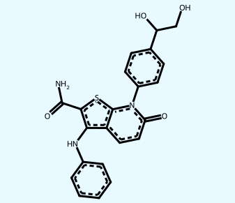 NC(=O)c1sc2c(ccc(=O)n2-c2ccc(C(O)CO)cc2)c1Nc1ccccc1